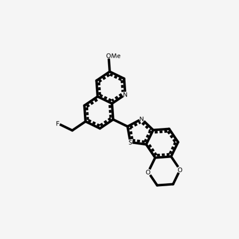 COc1cnc2c(-c3nc4ccc5c(c4s3)OCCO5)cc(CF)cc2c1